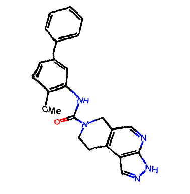 COc1ccc(-c2ccccc2)cc1NC(=O)N1CCc2c(cnc3[nH]ncc23)C1